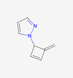 C=C1C=CC1n1cccn1